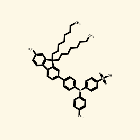 CCCCCCCCC1(CCCCCCCC)c2cc(C)ccc2-c2ccc(-c3ccc(N(c4ccc(C)cc4)c4ccc(S(=O)(=O)O)cc4)cc3)cc21